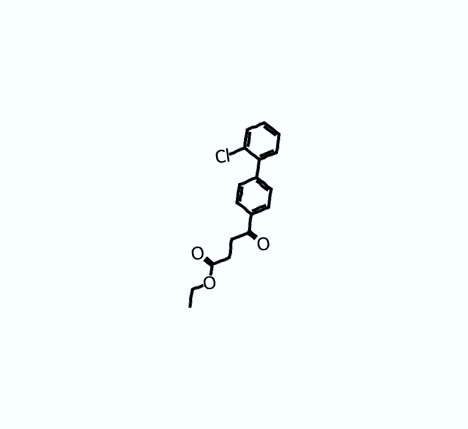 CCOC(=O)CCC(=O)c1ccc(-c2ccccc2Cl)cc1